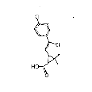 CC1(C)C(C=C(Cl)c2ccc(Cl)cc2)C1C(=O)O